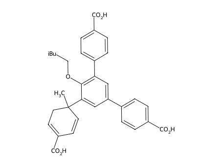 CCC(C)COc1c(-c2ccc(C(=O)O)cc2)cc(-c2ccc(C(=O)O)cc2)cc1C1(C)C=CC(C(=O)O)=CC1